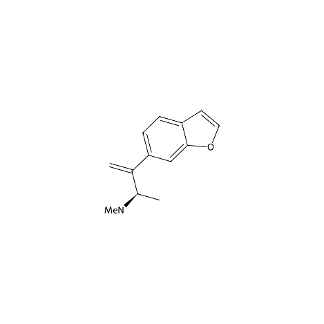 C=C(c1ccc2ccoc2c1)[C@@H](C)NC